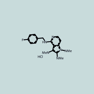 CNc1c(NC)n(NC)c2ccnc(NCc3ccc(F)cc3)c12.Cl